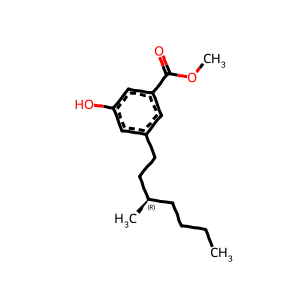 CCCC[C@@H](C)CCc1cc(O)cc(C(=O)OC)c1